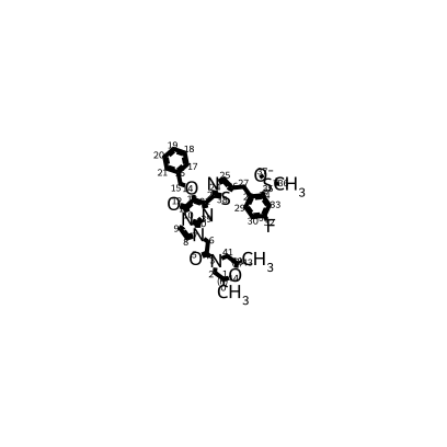 C[C@@H]1CN(C(=O)Cn2ccn3c(=O)c(OCc4ccccc4)c(-c4ncc(Cc5ccc(F)cc5[S+](C)[O-])s4)nc23)C[C@@H](C)O1